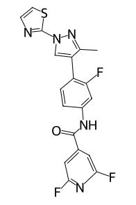 Cc1nn(-c2nccs2)cc1-c1ccc(NC(=O)c2cc(F)nc(F)c2)cc1F